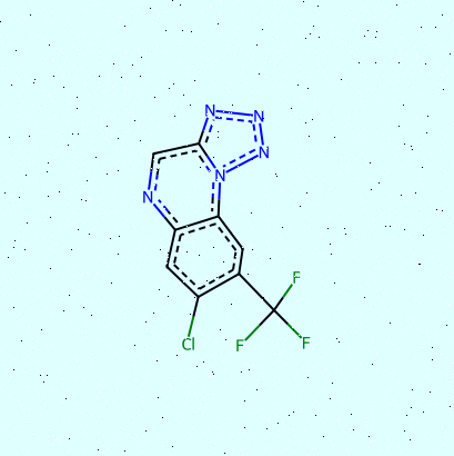 FC(F)(F)c1cc2c(cc1Cl)ncc1nnnn12